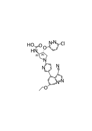 CCOc1cc(-c2ccc(N3C[C@@H](NC(=O)O)[C@H](Oc4ccc(Cl)nn4)C3)nc2)c2c(C#N)cnn2c1